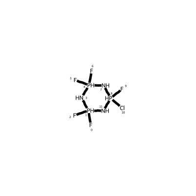 F[PH]1(F)N[PH](F)(F)N[PH](F)(Cl)N1